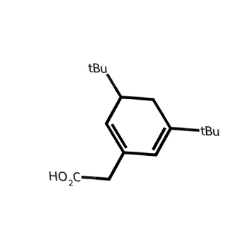 CC(C)(C)C1=CC(CC(=O)O)=CC(C(C)(C)C)C1